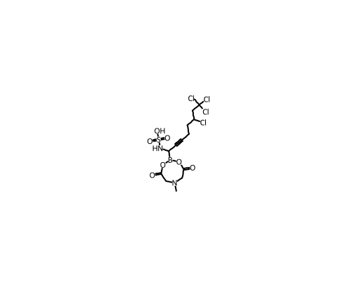 CN1CC(=O)OB(C(C#CCCC(Cl)CC(Cl)(Cl)Cl)NS(=O)(=O)O)OC(=O)C1